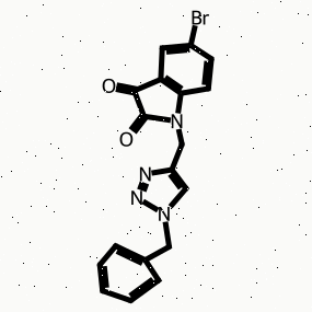 O=C1C(=O)N(Cc2cn(Cc3ccccc3)nn2)c2ccc(Br)cc21